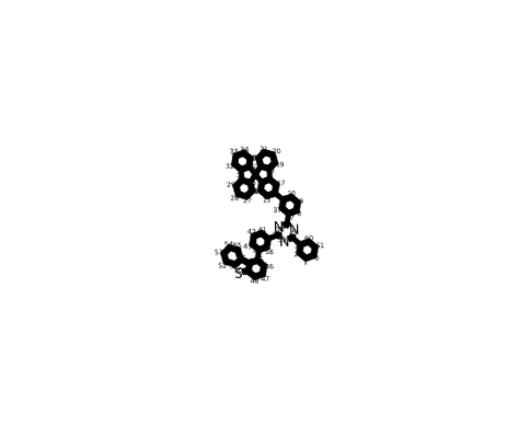 c1ccc(-c2nc(-c3cccc(-c4ccc5c(c4)-c4ccccc4C54c5ccccc5-c5ccccc54)c3)nc(-c3cccc(-c4cccc5sc6ccccc6c45)c3)n2)cc1